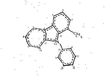 Cc1cccc2c3cccnc3n(-c3ccccc3)c12